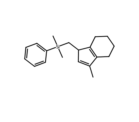 CC1=CC(C[Si](C)(C)c2ccccc2)C2=C1CCCC2